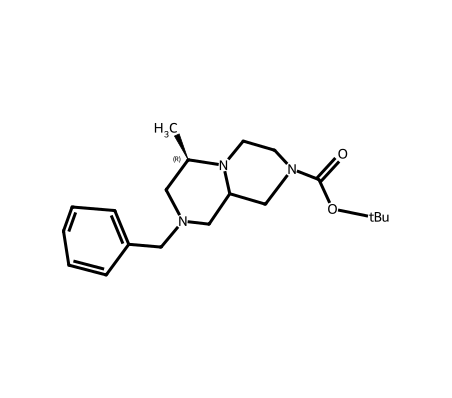 C[C@@H]1CN(Cc2ccccc2)CC2CN(C(=O)OC(C)(C)C)CCN21